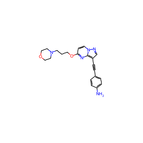 Nc1ccc(C#Cc2cnn3ccc(OCCCN4CCOCC4)nc23)cc1